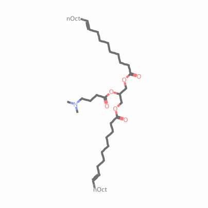 CCCCCCCCC=CCCCCCCCC(=O)OCC(COC(=O)CCCCCCCC=CCCCCCCCC)OC(=O)CCCN(C)C